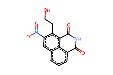 O=C1NC(=O)c2c(CCO)c([N+](=O)[O-])cc3cccc1c23